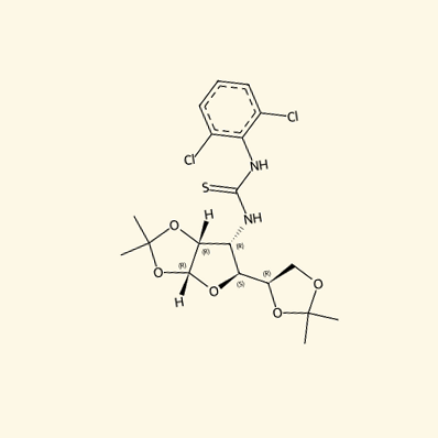 CC1(C)O[C@H]2O[C@H]([C@H]3COC(C)(C)O3)[C@@H](NC(=S)Nc3c(Cl)cccc3Cl)[C@H]2O1